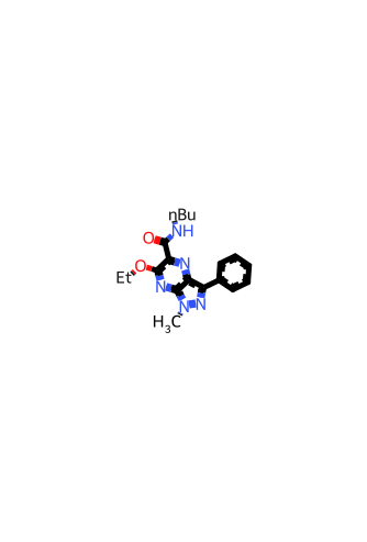 CCCCNC(=O)c1nc2c(-c3ccccc3)nn(C)c2nc1OCC